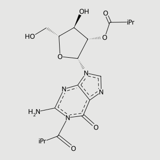 CC(C)C(=O)O[C@H]1[C@H](O)[C@@H](CO)O[C@H]1n1cnc2c(=O)n(C(=O)C(C)C)c(N)nc21